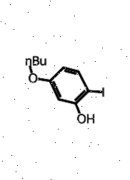 CCCCOc1ccc(I)c(O)c1